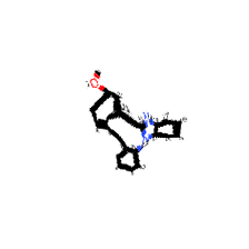 COc1ccc2c3ccccc3n3c4ccccc4nc3c2c1